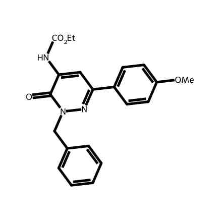 CCOC(=O)Nc1cc(-c2ccc(OC)cc2)nn(Cc2ccccc2)c1=O